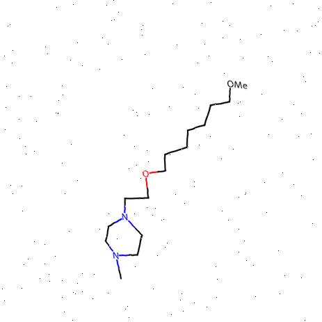 COCCCCCCCOCCN1CCN(C)CC1